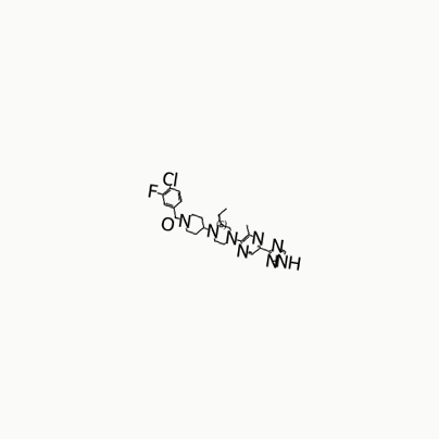 CC[C@H]1CN(c2ncc(-c3nc[nH]n3)nc2C)CCN1C1CCN(C(=O)c2ccc(Cl)c(F)c2)CC1